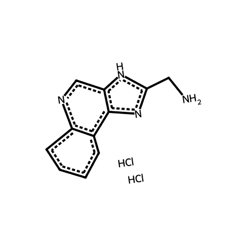 Cl.Cl.NCc1nc2c(cnc3ccccc32)[nH]1